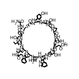 CCCC[C@H]1C(O)N(C)[C@@H](CCCC)C(=O)N[C@@H](CC(=O)O)C(=O)N[C@H](C(=O)NCC(N)=O)CSCC(=O)N[C@@H](Cc2ccc(O)cc2)C(=O)N(C)[C@@H](C)C(=O)N[C@@H](CC(=O)O)C(=O)N2CCCC2C(=O)N[C@@H](CN)C(=O)N[C@@H](CCC(=O)O)C(=O)N2C[C@H](O)C[C@H]2C(=O)N[C@@H](Cc2c[nH]c3ccccc23)C(=O)N[C@@H](CN)C(=O)N[C@@H](Cc2cn(CC(=O)O)c3ccccc23)C(=O)N1C